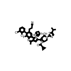 [2H]C1([2H])C2CC(CN1c1ncc(C(C)C)s1)N(C(=O)C1CC1)C2c1cc2c(C)nc3c(F)c(-c4cccc(Cl)c4Cl)c(CCC#N)cc3c2n1C1C2CNC1C2